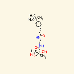 CC(C)(C)c1ccc(CCC(=O)NCCNC(=O)[C@H](O)C(C)(C)CO)cc1